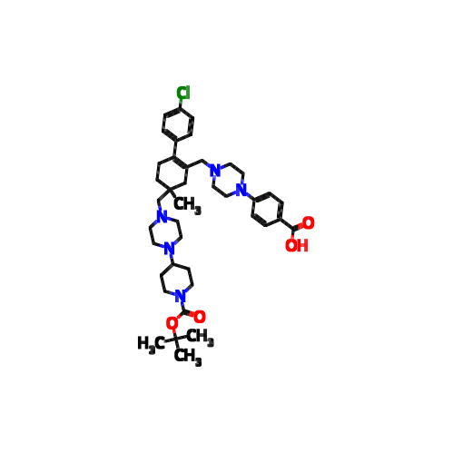 CC1(CN2CCN(C3CCN(C(=O)OC(C)(C)C)CC3)CC2)CCC(c2ccc(Cl)cc2)=C(CN2CCN(c3ccc(C(=O)O)cc3)CC2)C1